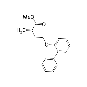 C=C(CCOc1ccccc1-c1ccccc1)C(=O)OC